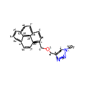 CC(C)n1cc(COCc2ccc3ccc4cccc5ccc2c3c45)nn1